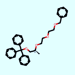 C[C@@H](COC(c1ccccc1)(c1ccccc1)c1ccccc1)OCCOCCOCc1ccccc1